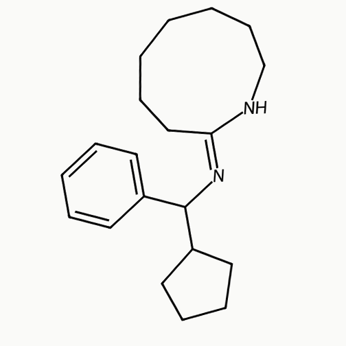 c1ccc(C(N=C2CCCCCCCN2)C2CCCC2)cc1